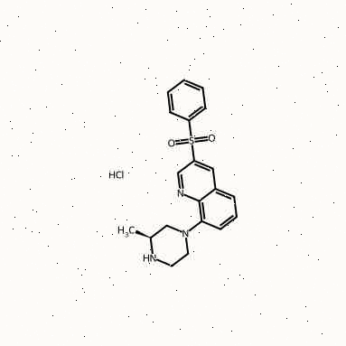 C[C@H]1CN(c2cccc3cc(S(=O)(=O)c4ccccc4)cnc23)CCN1.Cl